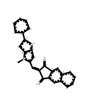 Cn1c(C=C2C(=O)c3cc4ccccc4cc3C2=O)cc2sc(-c3ccccc3)cc21